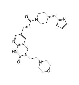 O=C(C=Cc1cnc2c(c1)CN(CCN1CCOCC1)C(=O)N2)N1CCC(=Cc2nccs2)CC1